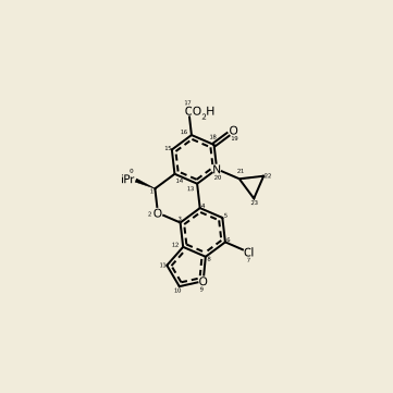 CC(C)[C@@H]1Oc2c(cc(Cl)c3occc23)-c2c1cc(C(=O)O)c(=O)n2C1CC1